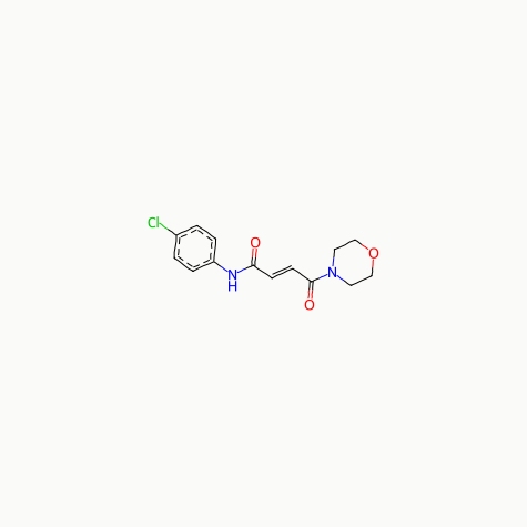 O=C(C=CC(=O)N1CCOCC1)Nc1ccc(Cl)cc1